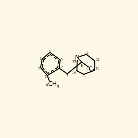 Cc1ccccc1CC1CC2CCN1CC2